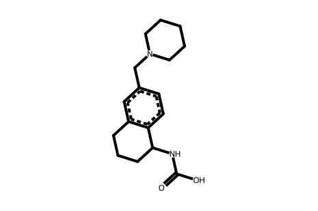 O=C(O)NC1CCCc2cc(CN3CCCCC3)ccc21